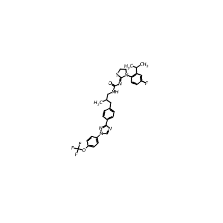 CC(CNC(=O)/N=C1\SCCN1c1ccc(F)cc1C(C)C)Cc1ccc(-c2ncn(-c3ccc(OC(F)(F)F)cc3)n2)cc1